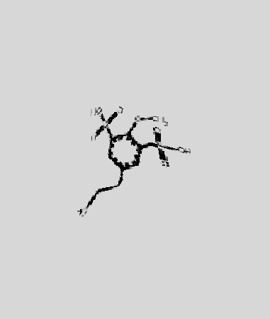 COc1c(S(=O)(=O)O)cc(CCO)cc1S(=O)(=O)O